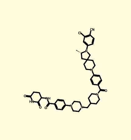 C[C@H]1CC2(CCN(c3ccc(C(=O)N4CCC(CN5CCN(c6ccc(C(=O)NC7CCC(=O)NC7=O)cc6)CC5)CC4)cc3)CC2)CN1c1ccc(C#N)c(Cl)c1